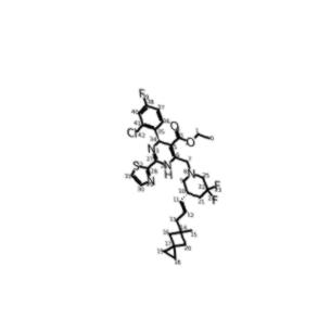 CCOC(=O)C1=C(CN2C[C@@H](/C=C/CC3(C)CC4(CC4)C3)CC(F)(F)C2)NC(c2nccs2)=N[C@H]1c1ccc(F)cc1Cl